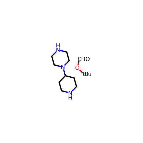 C1CC(N2CCNCC2)CCN1.CC(C)(C)OC=O